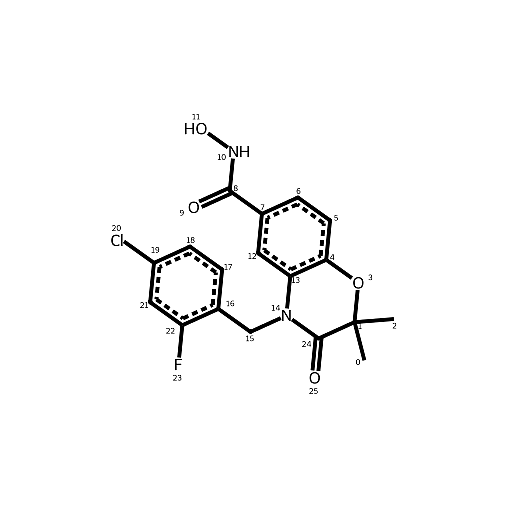 CC1(C)Oc2ccc(C(=O)NO)cc2N(Cc2ccc(Cl)cc2F)C1=O